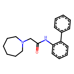 O=C(CN1CCCCCC1)Nc1ccccc1-c1ccccc1